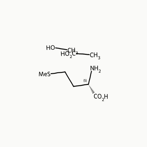 CC(=O)O.CO.CSCC[C@H](N)C(=O)O